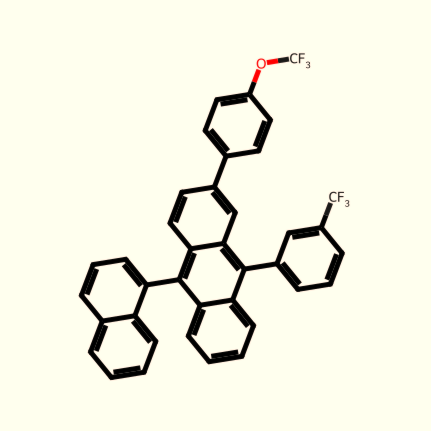 FC(F)(F)Oc1ccc(-c2ccc3c(-c4cccc5ccccc45)c4ccccc4c(-c4cccc(C(F)(F)F)c4)c3c2)cc1